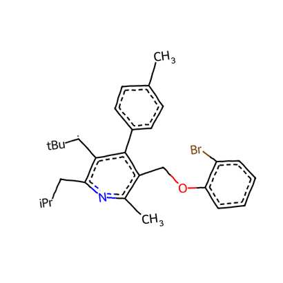 Cc1ccc(-c2c([CH]C(C)(C)C)c(CC(C)C)nc(C)c2COc2ccccc2Br)cc1